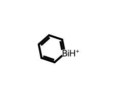 C1=C[CH]=[BiH+][CH]=C1